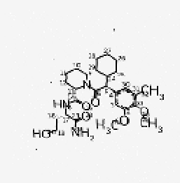 COc1cc([C@@H](C(=O)N2CCCC[C@H]2C(=O)N[C@@H](CCO)C(N)=O)C2CCCCC2)cc(C)c1OC